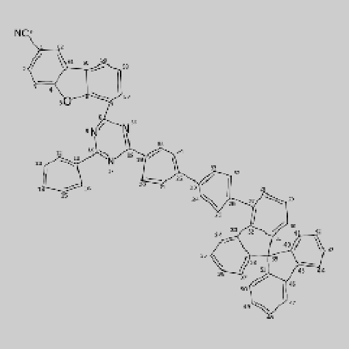 N#Cc1ccc2oc3c(-c4nc(-c5ccccc5)nc(-c5ccc(-c6ccc(-c7cccc8c7-c7ccccc7C87c8ccccc8-c8ccccc87)cc6)cc5)n4)cccc3c2c1